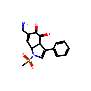 CS(=O)(=O)N1C=C(c2ccccc2)C2C(=O)C(=O)C(CN)=CC21